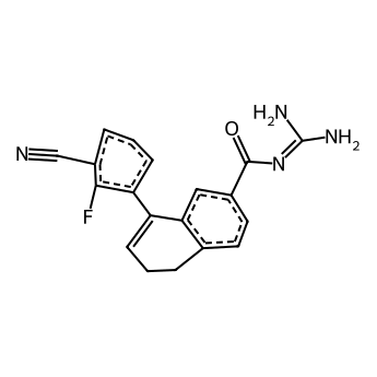 N#Cc1cccc(C2=CCCc3ccc(C(=O)N=C(N)N)cc32)c1F